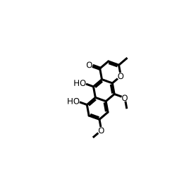 COc1cc(O)c2c(O)c3c(=O)cc(C)oc3c(OC)c2c1